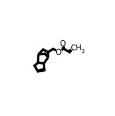 C=CC(=O)OCC1CC2CC1C1C=CCC21